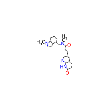 CN(Cc1cccc2c1ccn2C)C(=O)/C=C/c1cnc2c(c1)CCC(=O)N2